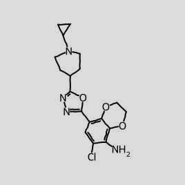 Nc1c(Cl)cc(-c2nnc(C3CCN(C4CC4)CC3)o2)c2c1OCCO2